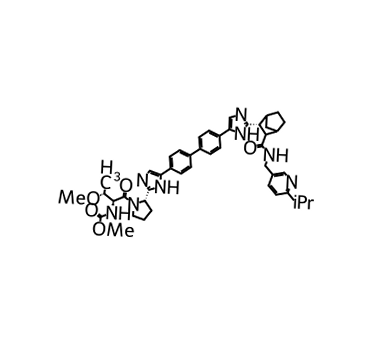 COC(=O)N[C@H](C(=O)N1CCC[C@H]1c1ncc(-c2ccc(-c3ccc(-c4cnc([C@@H]5C6CCC(C6)C5C(=O)NCc5ccc(C(C)C)nc5)[nH]4)cc3)cc2)[nH]1)[C@@H](C)OC